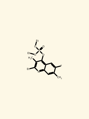 CCOP(=O)(OCC)Oc1c(C)c(CC)nc2cc(C)c(F)cc12